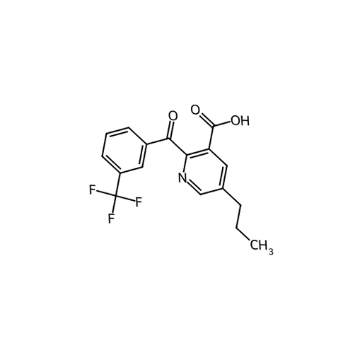 CCCc1cnc(C(=O)c2cccc(C(F)(F)F)c2)c(C(=O)O)c1